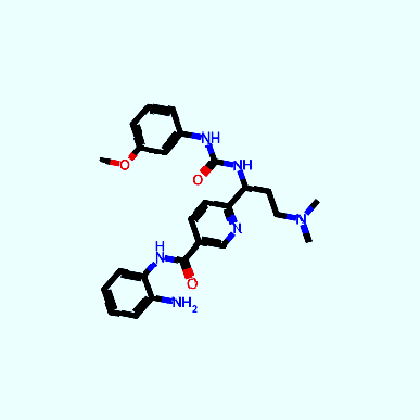 COc1cccc(NC(=O)NC(CCN(C)C)c2ccc(C(=O)Nc3ccccc3N)cn2)c1